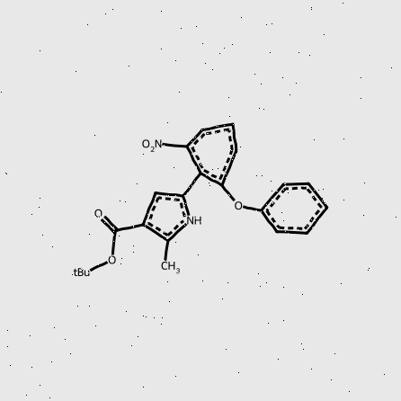 Cc1[nH]c(-c2c(Oc3ccccc3)cccc2[N+](=O)[O-])cc1C(=O)OC(C)(C)C